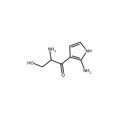 Nc1[nH]ccc1C(=O)C(N)CO